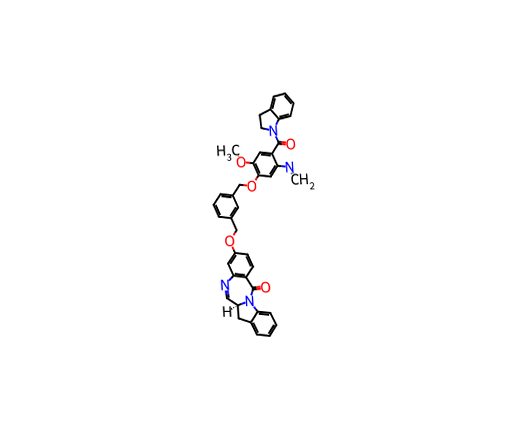 C=Nc1cc(OCc2cccc(COc3ccc4c(c3)N=C[C@@H]3Cc5ccccc5N3C4=O)c2)c(OC)cc1C(=O)N1CCc2ccccc21